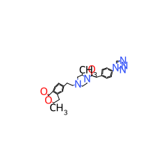 CC1Cc2cc(CCN3CCN(C(=O)Cc4ccc(-n5cnnn5)cc4)C(C)C3)ccc2C(=O)O1